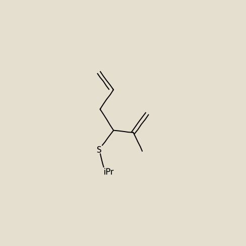 C=CCC(SC(C)C)C(=C)C